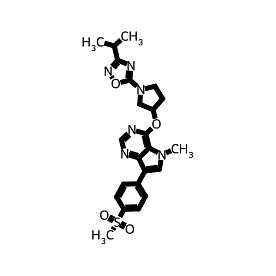 CC(C)c1noc(N2CCC(Oc3ncnc4c(-c5ccc(S(C)(=O)=O)cc5)cn(C)c34)C2)n1